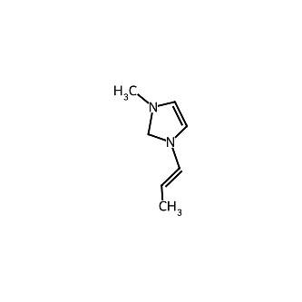 CC=CN1C=CN(C)C1